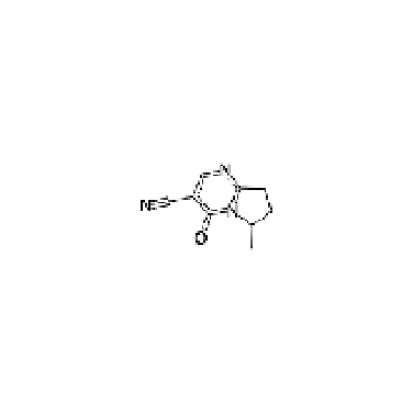 CC1CCc2ncc(C#N)c(=O)n21